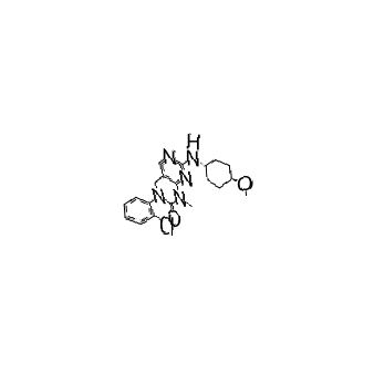 CO[C@H]1CC[C@H](Nc2ncc3c(n2)N(C)C(=O)N(c2ccccc2Cl)C3)CC1